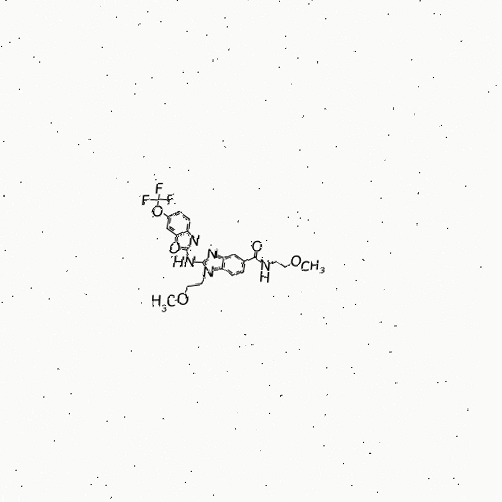 COCCNC(=O)c1ccc2c(c1)nc(Nc1nc3ccc(OC(F)(F)F)cc3o1)n2CCOC